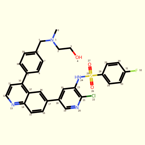 CN(CCO)Cc1ccc(-c2ccnc3ccc(-c4cnc(Cl)c(NS(=O)(=O)c5ccc(F)cc5)c4)cc23)cc1